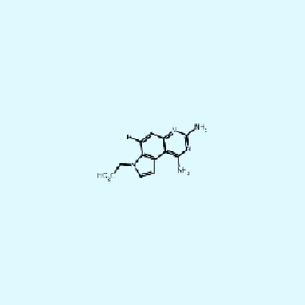 Nc1nc(N)c2c(cc(I)c3c2ccn3CC(=O)O)n1